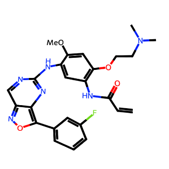 C=CC(=O)Nc1cc(Nc2ncc3noc(-c4cccc(F)c4)c3n2)c(OC)cc1OCCN(C)C